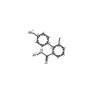 Cc1cccc(C(=O)NC(C)C)c1-c1ccc(C(C)(C)C)cc1